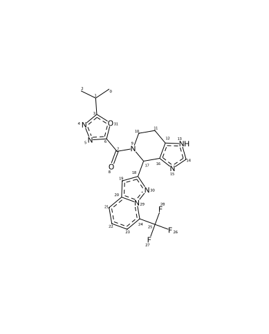 CC(C)c1nnc(C(=O)N2CCc3[nH]cnc3C2c2cc3cccc(C(F)(F)F)n3n2)o1